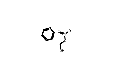 O=[N+]([O-])OCO.c1ccncc1